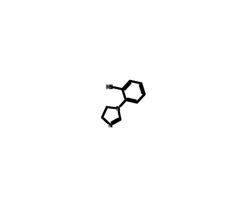 Sc1ccccc1N1C=NCC1